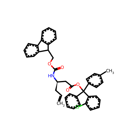 C=CC[C@H](CC(=O)OC(c1ccccc1)(c1ccc(C)cc1)c1ccccc1Cl)NC(=O)OCC1c2ccccc2-c2ccccc21